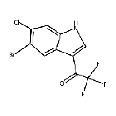 O=C(c1c[nH]c2cc(Cl)c(Br)cc12)C(F)(F)F